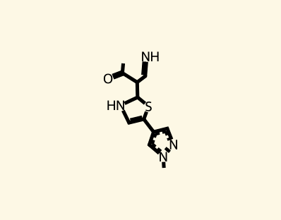 CC(=O)C(C=N)C1NC=C(c2cnn(C)c2)S1